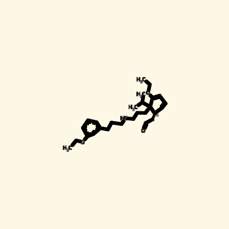 CCOC1=CC=C[C@@H](CC=O)C1(CCCNCCCc1cccc(OCC)c1)C(C)C